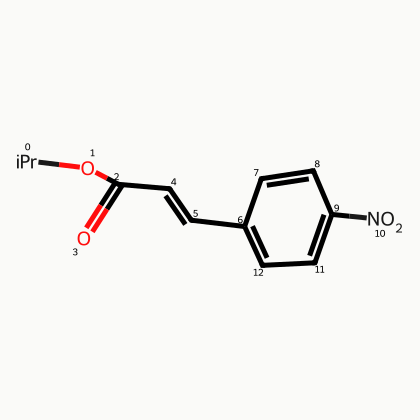 CC(C)OC(=O)/C=C/c1ccc([N+](=O)[O-])cc1